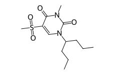 CCCC(CCC)n1cc(S(C)(=O)=O)c(=O)n(C)c1=O